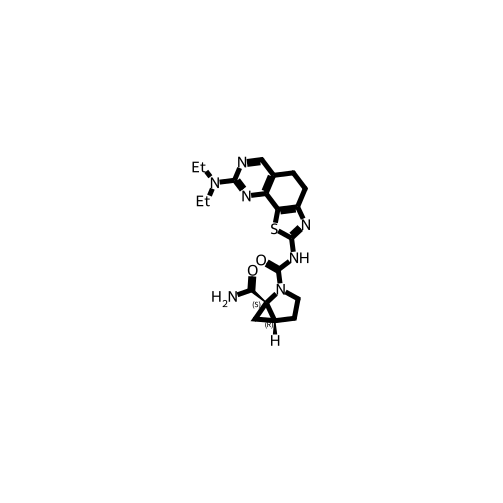 CCN(CC)c1ncc2c(n1)-c1sc(NC(=O)N3CC[C@@H]4C[C@@]43C(N)=O)nc1CC2